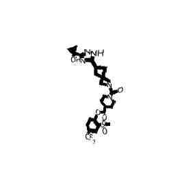 CS(=O)(=O)c1cc(C(F)(F)F)ccc1OCC1CCN(C(=O)N2CC3(CC(c4nc(C5(O)CC5)n[nH]4)C3)C2)CC1